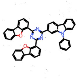 c1ccc(-n2c3ccccc3c3ccc(-c4nc(-c5cccc6c5oc5ccccc56)nc(-c5cccc6c5oc5ccccc56)n4)cc32)cc1